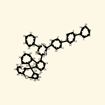 c1ccc(-c2ccc(-c3ccc(-c4nc(-c5ccccc5)nc(-c5cccc6c5-c5ccccc5C65c6ccccc6Oc6ccccc65)n4)cc3)cc2)cc1